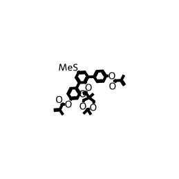 C=C(C)C(=O)Oc1ccc(-c2cc(SC)cc(-c3ccc(OC(=O)C(=C)C)cc3)c2OC(=O)C2(C)COC(C)(C)OC2)cc1